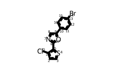 Clc1ccsc1-c1ncc(-c2ccc(Br)cc2)o1